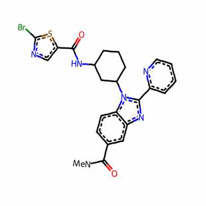 CNC(=O)c1ccc2c(c1)nc(-c1ccccn1)n2C1CCCC(NC(=O)c2cnc(Br)s2)C1